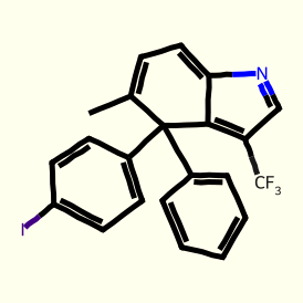 CC1=CC=C2N=CC(C(F)(F)F)=C2C1(c1ccccc1)c1ccc(I)cc1